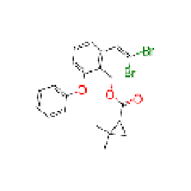 CC1(C)CC1C(=O)OCc1c(C=C(Br)Br)cccc1Oc1ccccc1